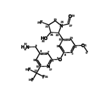 COc1cc(Oc2cc(CN)cc(C(F)(F)F)n2)cc(C2C(O)C(F)CN2C=O)c1